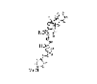 COc1ccc(CC[N+](C)(C)CC(O)COc2ccc(N(Cc3ccccc3)S(C)(=O)=O)cc2C#N)cc1